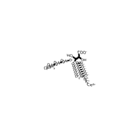 O=C([O-])C(O)C(O)C(=O)[O-].O=[N+]([O-])[O-].O=[N+]([O-])[O-].O=[N+]([O-])[O-].O=[N+]([O-])[O-].O=[N+]([O-])[O-].O=[N+]([O-])[O-].O=[N+]([O-])[O-].O=[N+]([O-])[O-].O=[N+]([O-])[O-].O=[N+]([O-])[O-].[Ce+4].[Ce+4].[K+].[K+].[N+].[NH4+]